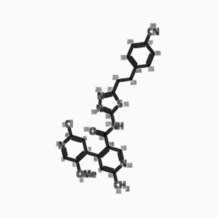 COc1cnc(Cl)cc1-c1cc(C)ncc1C(=O)Nc1nnc(CCc2ccc(C#N)cc2)s1